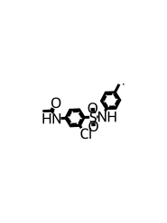 [CH2]c1ccc(NS(=O)(=O)c2ccc(NC(C)=O)cc2Cl)cc1